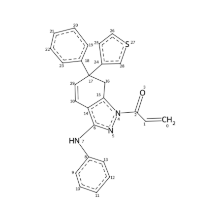 C=CC(=O)n1nc(Nc2ccccc2)c2c1CC(c1ccccc1)(c1ccsc1)C=C2